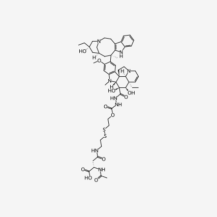 CC[C@]1(O)C[C@H]2CN(CCc3c([nH]c4ccccc34)[C@@](C)(c3cc4c(cc3OC)N(C)[C@H]3[C@@](O)(C(=O)NNC(=O)OCCSSCCNC(=O)C[C@H](NC(C)=O)C(=O)O)[C@H](O)[C@]5(CC)C=CCN6CC[C@]43[C@@H]65)C2)C1